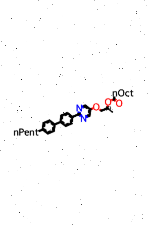 CCCCCCCCC(=O)O[C@@H](C)COc1cnc(-c2ccc(-c3ccc(CCCCC)cc3)cc2)nc1